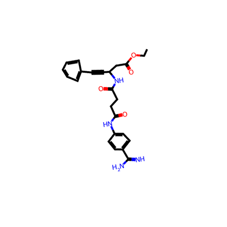 CCOC(=O)CC(C#Cc1ccccc1)NC(=O)CCC(=O)Nc1ccc(C(=N)N)cc1